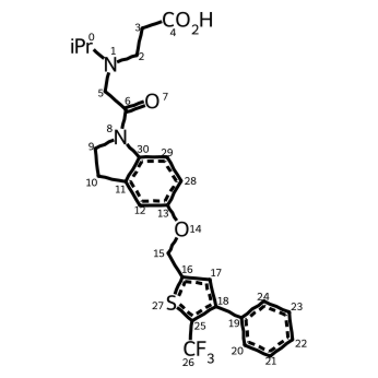 CC(C)N(CCC(=O)O)CC(=O)N1CCc2cc(OCc3cc(-c4ccccc4)c(C(F)(F)F)s3)ccc21